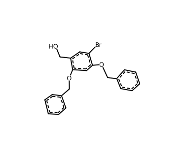 OCc1cc(Br)c(OCc2ccccc2)cc1OCc1ccccc1